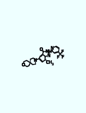 Cc1cc(N2CCC3(CCOCC3)CC2)cc2c(=O)[nH]c(-c3cc(C(F)(F)F)ccn3)nc12